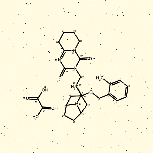 Cc1ccccc1COC1(C)CC2CCC(C1)N2CCCn1c(=O)nc2n(c1=O)CCCC2.O=C(O)C(=O)O